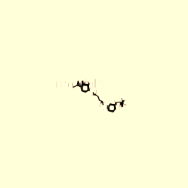 CCCc1c(OCCCCOc2cccc(OC(=O)CC)c2)ccc2c(CC(C)(C)C)coc12